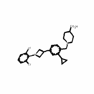 O=C(O)C1CCN(Cc2ccc(C3CN(c4c(Cl)cccc4Cl)C3)cc2C2CC2)CC1